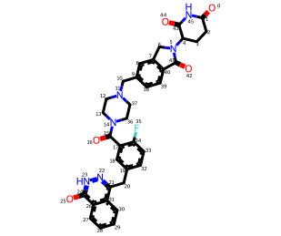 O=C1CCC(N2Cc3cc(CN4CCN(C(=O)c5cc(Cc6n[nH]c(=O)c7ccccc67)ccc5F)CC4)ccc3C2=O)C(=O)N1